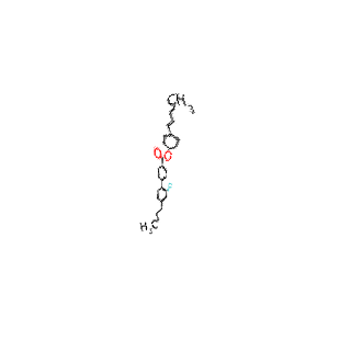 CCCCC[C@H]1CC[C@H](OC(=O)c2ccc(-c3ccc(CCCC)cc3F)cc2)CC1